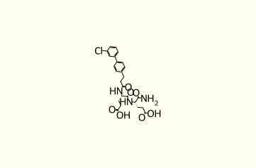 NC(=O)[C@H](CCC(=O)O)NC(=O)[C@H](CCC(=O)O)NC(=O)CCc1ccc(-c2cccc(Cl)c2)cc1